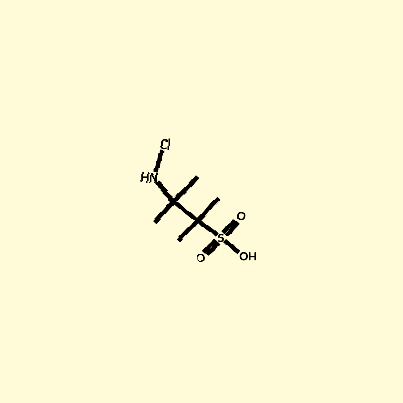 CC(C)(NCl)C(C)(C)S(=O)(=O)O